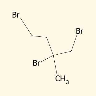 CC(Br)(CBr)CCBr